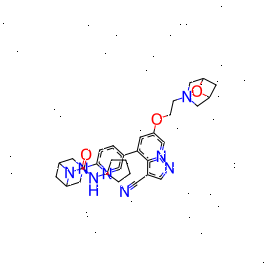 N#Cc1cnn2cc(OCCN3CC4CC(C3)O4)cc(-c3ccc(N4CC5CC(C4)N5C(=O)NC4CCCC4)nc3)c12